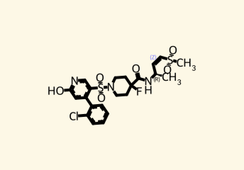 C[C@H](/C=C\S(C)(=O)=O)NC(=O)C1(F)CCN(S(=O)(=O)c2cnc(O)cc2-c2ccccc2Cl)CC1